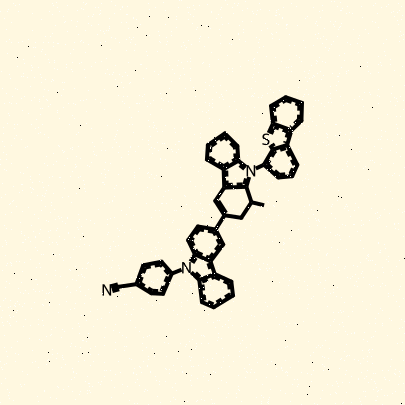 CC1CC(c2ccc3c(c2)c2ccccc2n3-c2ccc(C#N)cc2)=Cc2c1n(-c1cccc3c1sc1ccccc13)c1ccccc21